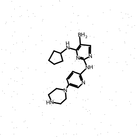 Bc1cnc(Nc2ccc(N3CCNCC3)cn2)nc1NC1CCCC1